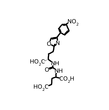 O=C(O)CCC(NC(=O)N[C@@H](CCc1nc(-c2ccc([N+](=O)[O-])cc2)co1)C(=O)O)C(=O)O